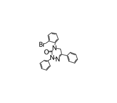 O=C1N(c2ccccc2Br)CC(c2ccccc2)=NN1c1ccccc1